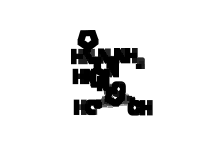 C#C[C@H]1C[C@@H](CO)O[C@H]1N1CNc2c(NC3CCCC3)nc(N)nc21